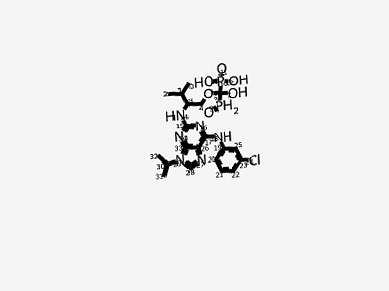 CC(C)C(COC(O)([PH2]=O)P(=O)(O)O)Nc1nc(Nc2cccc(Cl)c2)c2ncn(C(C)C)c2n1